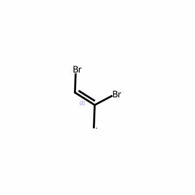 [CH2]/C(Br)=C/Br